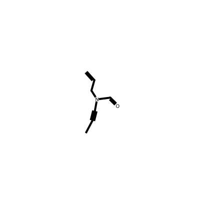 C=CCN(C#CC)C=O